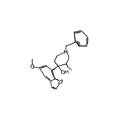 COc1cc(C2(O)CCN(Cc3ccccc3)CC2C)c2occc2c1